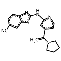 C=C(c1ccnc(Nc2nc3ccc(C#N)cc3s2)c1)N1CCCC1